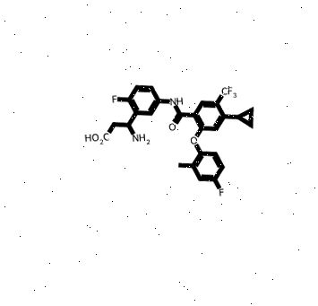 Cc1cc(F)ccc1Oc1cc(C2CC2)c(C(F)(F)F)cc1C(=O)Nc1ccc(F)c(C(N)CC(=O)O)c1